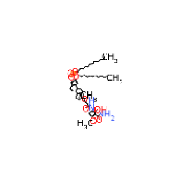 CCCCCCCCCCCCOP(=O)(OCCCCCCCCCCCC)Oc1ccc2c(c1)CCC1C2CC[C@]2(C)C1CC[C@H]2OCCC(=O)Nc1ccc(OC)c(C(N)=O)c1O